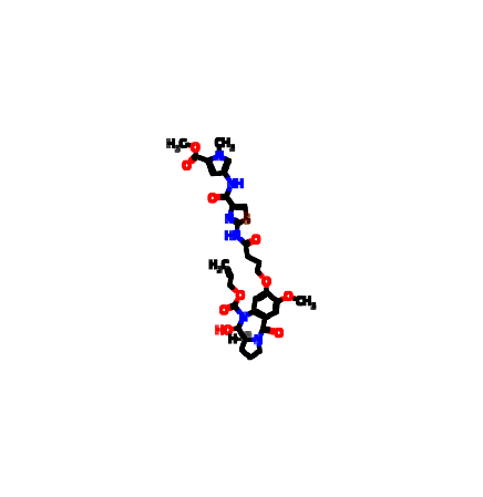 C=CCOC(=O)N1c2cc(OCCCC(=O)Nc3nc(C(=O)Nc4cc(C(=O)OC)n(C)c4)cs3)c(OC)cc2C(=O)N2CCC[C@H]2C1O